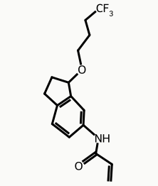 C=CC(=O)Nc1ccc2c(c1)C(OCCCC(F)(F)F)CC2